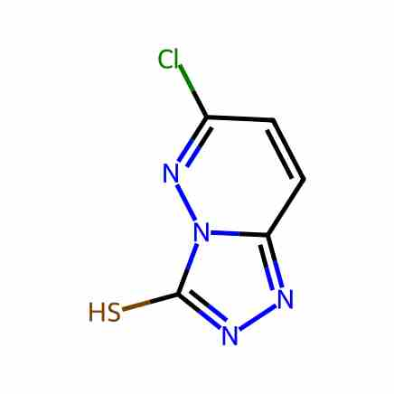 Sc1nnc2ccc(Cl)nn12